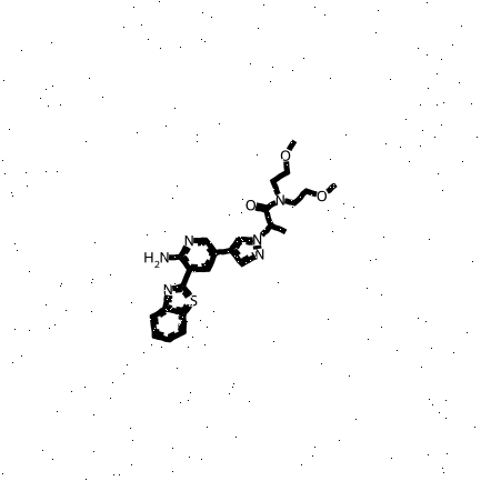 COCCN(CCOC)C(=O)C(C)n1cc(-c2cnc(N)c(-c3nc4ccccc4s3)c2)cn1